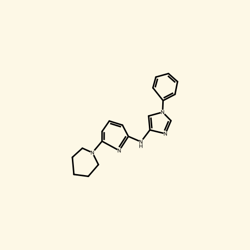 c1ccc(-n2cnc(Nc3cccc(N4CCCCC4)n3)c2)cc1